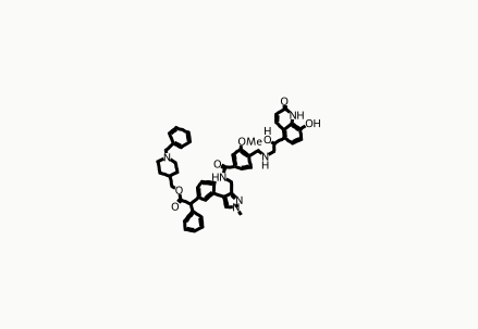 COc1cc(C(=O)NCc2nn(C)cc2-c2cccc(C(C(=O)OCC3CCN(Cc4ccccc4)CC3)c3ccccc3)c2)ccc1CNCC(O)c1ccc(O)c2[nH]c(=O)ccc12